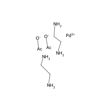 CC(=O)[O-].CC(=O)[O-].NCCN.NCCN.[Pd+2]